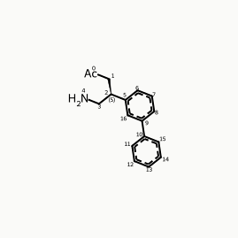 CC(=O)C[C@H](CN)c1cccc(-c2ccccc2)c1